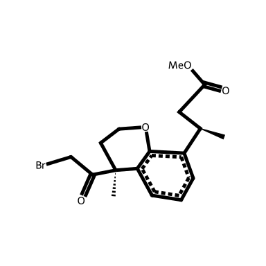 COC(=O)C[C@@H](C)c1cccc2c1OCC[C@]2(C)C(=O)CBr